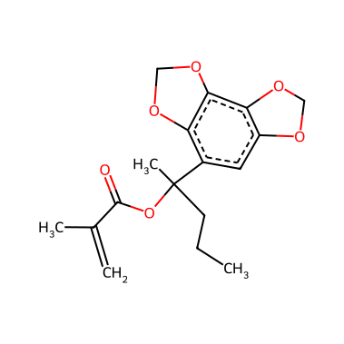 C=C(C)C(=O)OC(C)(CCC)c1cc2c(c3c1OCO3)OCO2